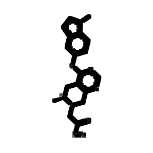 CNC(=O)CN1Cc2ncnc(Oc3ccc4c(ccn4C)c3)c2C[C@@H]1C